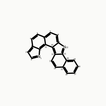 C1=Nc2c(ccc3ccc4c(c23)=c2ccc3ccccc3c2=N4)=C1